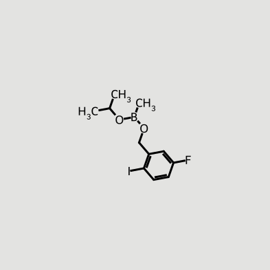 CB(OCc1cc(F)ccc1I)OC(C)C